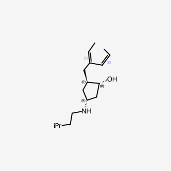 C/C=C\C(=C/C)C[C@@H]1C[C@@H](NCCC(C)C)C[C@H]1O